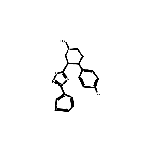 CN1CCC(c2ccc(Cl)cc2)C(c2nc(-c3ccccc3)no2)C1